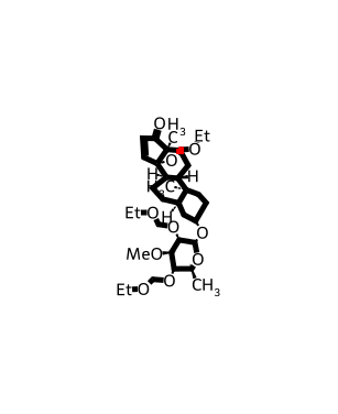 CCOCO[C@@H]1[C@H](O[C@H]2CC[C@@]3(C)[C@H](CC[C@@H]4[C@@H]3CC[C@]3(C)C(=O)C=C[C@]43OCOCC)C2)O[C@@H](C)[C@H](OCOCC)[C@H]1OC